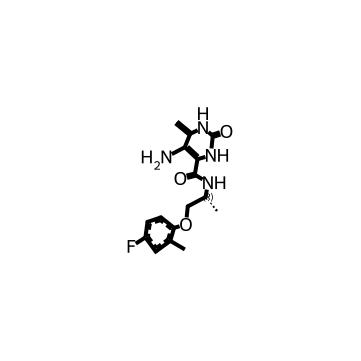 C=C1NC(=O)NC(C(=O)N[C@H](C)COc2ccc(F)cc2C)=C1N